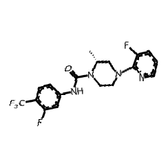 C[C@@H]1CN(c2ncccc2F)CCN1C(=O)Nc1ccc(C(F)(F)F)c(F)c1